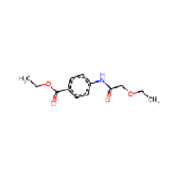 CCOCC(=O)Nc1ccc(C(=O)OCC)cc1